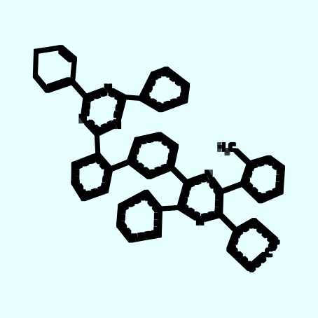 Cc1ccccc1-c1nc(-c2cccc(-c3ccccc3-c3nc(C4=CCCC=C4)nc(-c4ccccc4)n3)c2)c(-c2ccccc2)nc1-c1ccccc1